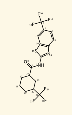 O=C(Nc1nc2ccc(C(F)(F)F)cc2s1)C1CCCC(C(F)(F)F)C1